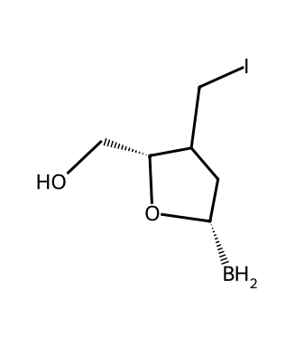 B[C@H]1CC(CI)[C@@H](CO)O1